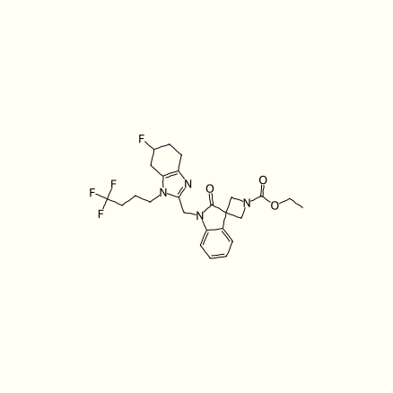 CCOC(=O)N1CC2(C1)C(=O)N(Cc1nc3c(n1CCCC(F)(F)F)CC(F)CC3)c1ccccc12